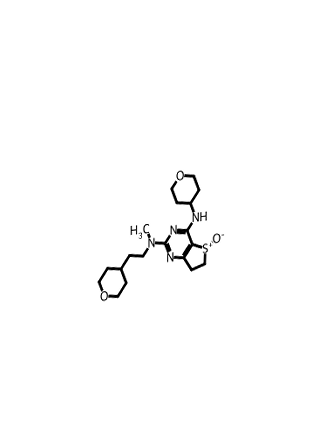 CN(CCC1CCOCC1)c1nc2c(c(NC3CCOCC3)n1)[S+]([O-])CC2